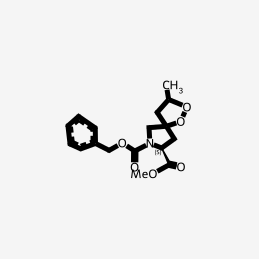 COC(=O)[C@@H]1CC2(CC(C)OO2)CN1C(=O)OCc1ccccc1